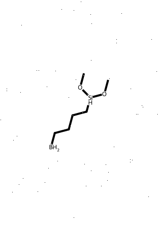 BCCCC[SiH](OC)OC